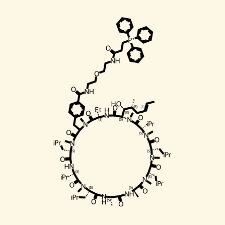 C/C=C/C[C@@H](C)[C@@H](O)[C@H]1C(=O)N[C@@H](CC)C(=O)N(C)C(Cc2ccc(C(=O)NCCOCCNC(=O)CC[P+](c3ccccc3)(c3ccccc3)c3ccccc3)cc2)C(=O)N(C)[C@@H](CC(C)C)C(=O)N[C@@H](C(C)C)C(=O)N(C)[C@@H](CC(C)C)C(=O)N[C@@H](C)C(=O)N[C@H](C)C(=O)N(C)[C@@H](CC(C)C)C(=O)N(C)[C@@H](CC(C)C)C(=O)N(C)[C@@H](C(C)C)C(=O)N1C